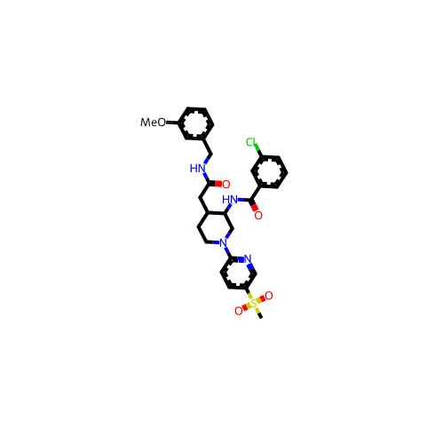 COc1cccc(CNC(=O)CC2CCN(c3ccc(S(C)(=O)=O)cn3)CC2NC(=O)c2cccc(Cl)c2)c1